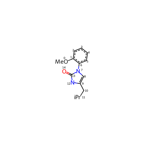 COc1ccccc1N1C=C(CC(C)C)[N]C1=O